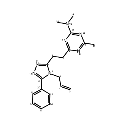 C=CCn1c(CCc2nc(C)nc(N(C)C)n2)nnc1-c1ccccc1